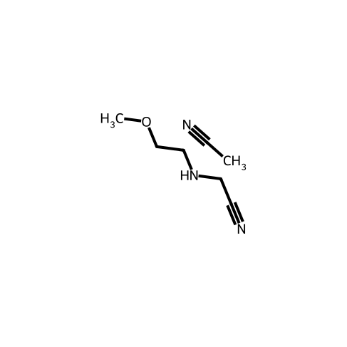 CC#N.COCCNCC#N